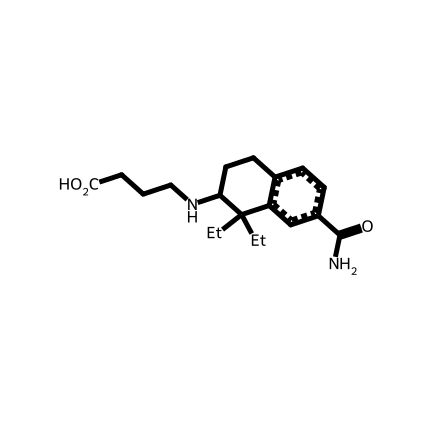 CCC1(CC)c2cc(C(N)=O)ccc2CCC1NCCCC(=O)O